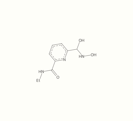 CCNC(=O)c1cccc(C(O)NO)n1